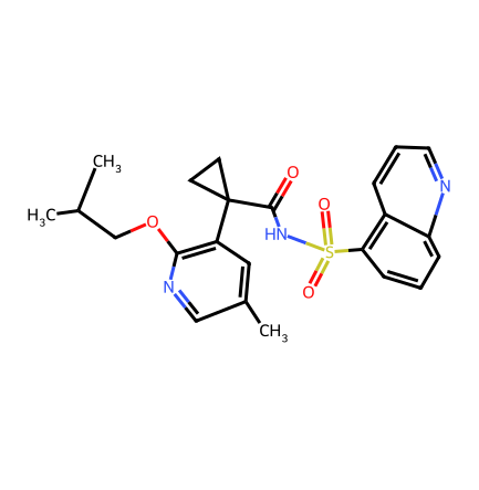 Cc1cnc(OCC(C)C)c(C2(C(=O)NS(=O)(=O)c3cccc4ncccc34)CC2)c1